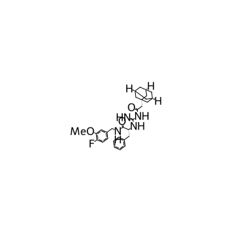 COc1cc(CNC(=O)[C@@H](Cc2ccccc2)NC(=N)NC(=O)C[C@]23C[C@H]4C[C@H](C[C@H](C4)C2)C3)ccc1F